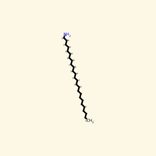 [CH2]CCCCCCCCCCCCCCCCCCCCCCCCCN